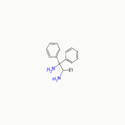 CCC(N)C(N)(c1ccccc1)c1ccccc1